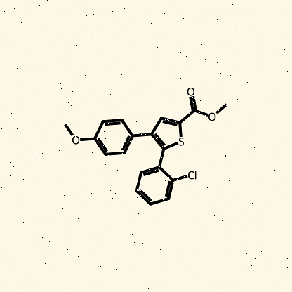 COC(=O)c1cc(-c2ccc(OC)cc2)c(-c2ccccc2Cl)s1